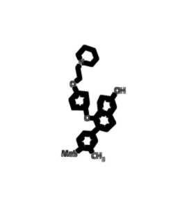 CSc1ccc(-c2ccc3cc(O)ccc3c2Oc2ccc(OCCN3CCCCC3)cc2)cc1C